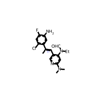 CCN(C=O)c1cc(N(C)C)ncc1/C=C(\C)c1cc(N)c(F)cc1Cl